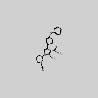 N#CN1CCC[C@@H](n2cc(-c3ccc(Oc4ccccc4)cc3)c(C(N)=O)c2N)C1